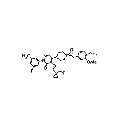 COc1cc(C[S+]([O-])N2CCN(c3cnn(-c4cc(C)cc(F)c4)c(=O)c3OCC3(CF)CC3)CC2)ccc1N